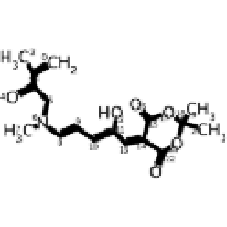 C=C(C)C(=O)CN(C)/C=C/C=C(\O)C=C1C(=O)OC(C)(C)OC1=O